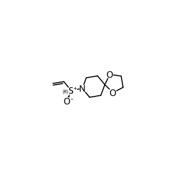 C=C[S@+]([O-])N1CCC2(CC1)OCCO2